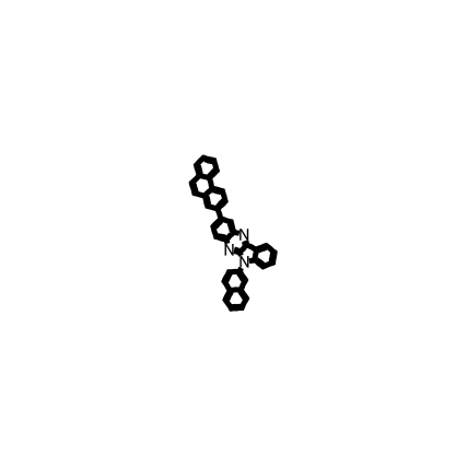 c1ccc2cc(-n3c4ccccc4c4nc5cc(-c6ccc7c(ccc8ccccc87)c6)ccc5nc43)ccc2c1